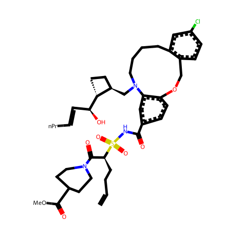 C=CCC[C@@H](C(=O)N1CCC(C(=O)OC)CC1)S(=O)(=O)NC(=O)c1ccc2c(c1)N(C[C@@H]1CC[C@H]1[C@@H](O)/C=C/CCC)CCCCc1cc(Cl)ccc1CO2